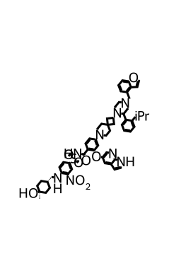 CC(C)c1ccccc1C1CN(Cc2cccc3occc23)CCN1C1CC2(CCN(c3ccc(C(=O)NS(=O)(=O)c4ccc(NC[C@H]5CC[C@](C)(O)CC5)c([N+](=O)[O-])c4)c(Oc4cnc5[nH]ccc5c4)c3)CC2)C1